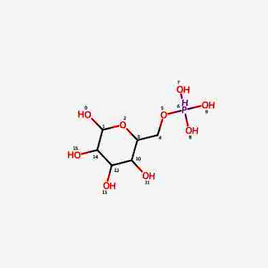 OC1OC(CO[PH](O)(O)O)C(O)C(O)C1O